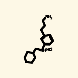 Cl.NCCCc1cccc(NCC2CCCCC2)c1